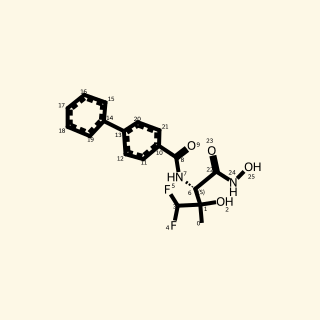 CC(O)(C(F)F)[C@H](NC(=O)c1ccc(-c2ccccc2)cc1)C(=O)NO